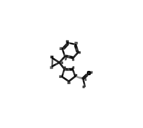 CC(=O)[C@H]1C=C(C2(c3ccccc3)CC2)CC1